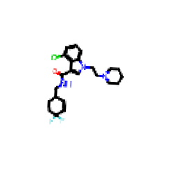 O=C(NCC1CCC(F)(F)CC1)c1cn(CCN2CCCCC2)c2cccc(Cl)c12